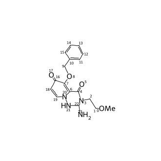 COCCN1C(=O)c2c(OCc3ccccc3)c(=O)ccn2NC1N